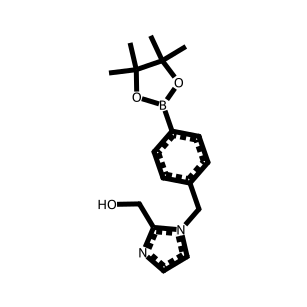 CC1(C)OB(c2ccc(Cn3ccnc3CO)cc2)OC1(C)C